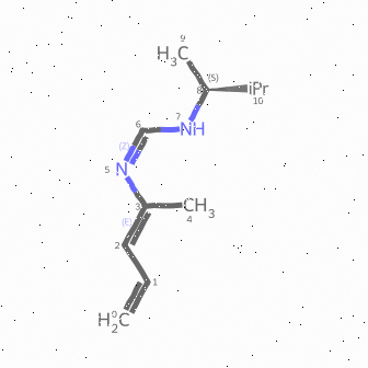 C=C/C=C(C)/N=C\N[C@@H](C)C(C)C